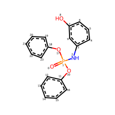 O=P(Nc1cccc(O)c1)(Oc1ccccc1)Oc1ccccc1